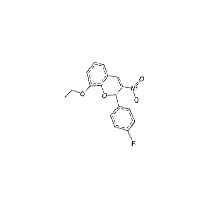 CCOc1cccc2c1OC(c1ccc(F)cc1)C([N+](=O)[O-])=C2